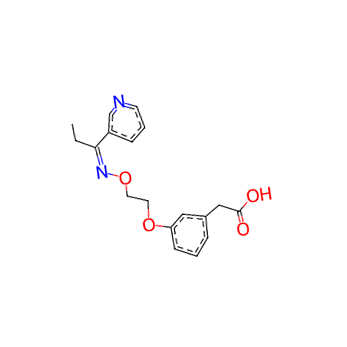 CCC(=NOCCOc1cccc(CC(=O)O)c1)c1cccnc1